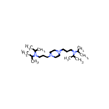 CC(C)N(CCCN1CCN(CCCN(C(C)C)C(C)C)CC1)C(C)C